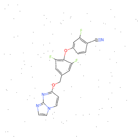 N#Cc1ccc(Oc2c(F)cc(COc3ccn4ccnc4n3)cc2F)cc1F